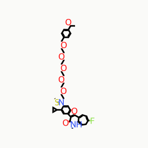 CNC(=O)c1c(C2=CC=C(F)CC=C2)oc2cc(N(CCOCCOCCOCCOCCOCc3ccc(C(C)=O)cc3)SC)c(C3CC3)cc12